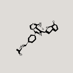 CC(=O)NC[C@H]1CC[C@H](c2nc(-c3cc4cccc(Cl)c4s3)c3c(N)nccn32)CC1